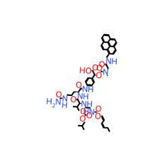 CC/C=C\C=C/OC(=O)NCC(N[C@H](C(=O)N[C@@H](CCCNC(N)=O)C(=O)Nc1ccc(C(OC(=O)N(C)CC(=O)NCc2ccc3ccc4cccc5ccc2c3c45)C(=O)O)cc1)C(C)C)OC(=O)OCC(C)C